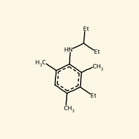 CCc1c(C)cc(C)c(NC(CC)CC)c1C